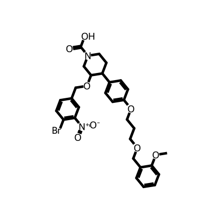 COc1ccccc1COCCCOc1ccc(C2CCN(C(=O)O)CC2OCc2ccc(Br)c([N+](=O)[O-])c2)cc1